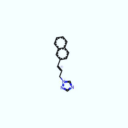 C(=C\c1ccc2ccccc2c1)/Cn1cncn1